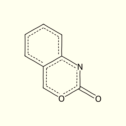 O=c1nc2ccccc2co1